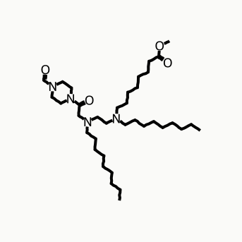 CCCCCCCCCN(CCCCCCCC(=O)OC)CCN(CCCCCCCCC)CC(=O)N1CCN(C=O)CC1